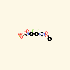 CS(=O)(=O)OC[C@H]1CN(c2ccc(-c3ccc(N4CCN(C(=O)OCc5ccccc5)CC4)c(F)c3)c(F)c2)C(=O)O1